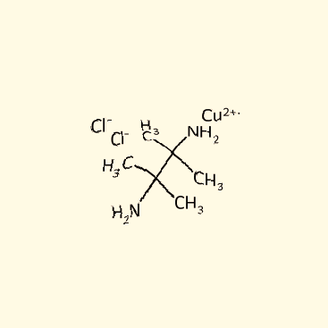 CC(C)(N)C(C)(C)N.[Cl-].[Cl-].[Cu+2]